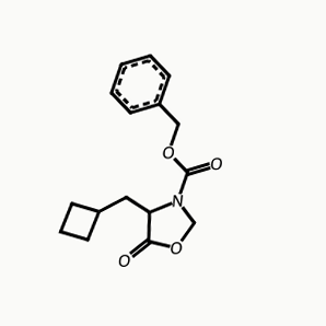 O=C1OCN(C(=O)OCc2ccccc2)C1CC1CCC1